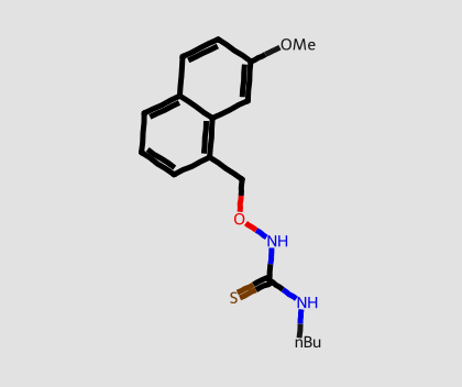 CCCCNC(=S)NOCc1cccc2ccc(OC)cc12